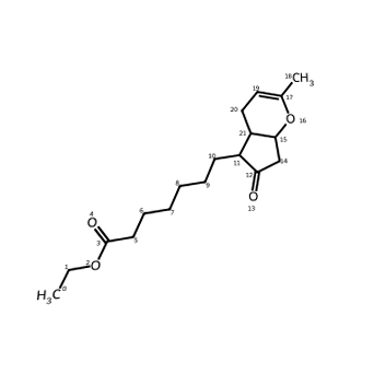 CCOC(=O)CCCCCCC1C(=O)CC2OC(C)=CCC21